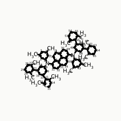 Cc1cc(C)cc(N(c2cc(-c3c(C)cccc3C)cc(-c3c(C)cccc3C)c2)c2ccc3ccc4c(N(c5cc(C)cc(C)c5)c5cc(-c6c(C)cccc6C)cc(-c6c(C)cccc6C)c5)ccc5ccc2c3c54)c1